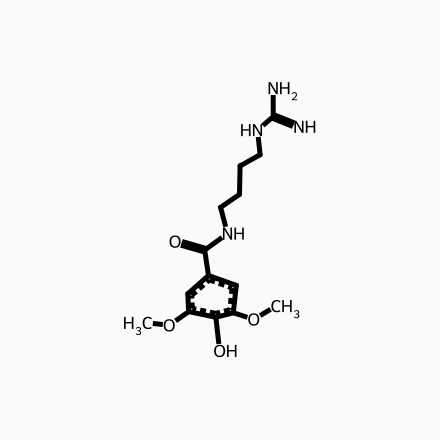 COc1cc(C(=O)NCCCCNC(=N)N)cc(OC)c1O